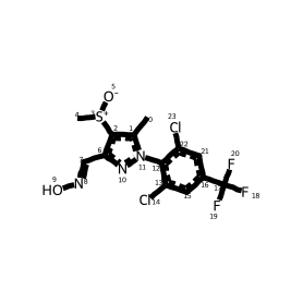 Cc1c([S+](C)[O-])c(C=NO)nn1-c1c(Cl)cc(C(F)(F)F)cc1Cl